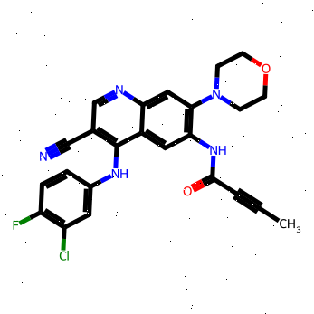 CC#CC(=O)Nc1cc2c(Nc3ccc(F)c(Cl)c3)c(C#N)cnc2cc1N1CCOCC1